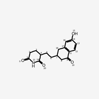 O=C1CCC(CCC2CC(=O)c3ccc(O)cc3C2)C(=O)N1